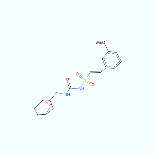 COc1cccc(/C=C/S(=O)(=O)NC(=O)NCC2CC3CCC2O3)c1